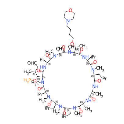 CC[C@@H]1NC(=O)[C@H]([C@H](OP)[C@H](C)CC=O)N(C)C(=O)[C@H](C(C)C)N(C)C(=O)[C@H](CC(C)C)N(C)C(=O)[C@H](CC(C)C)N(C)C(=O)[C@@H](C)NC(=O)[C@H](C)NC(=O)[C@H](CC(C)C)N(C)C(=O)[C@H](C(C)C)NC(=O)[C@H]([C@@H](C)OCCCCN2CCOCC2)N(C)C(=O)[C@@H](C)N(C)C1=O